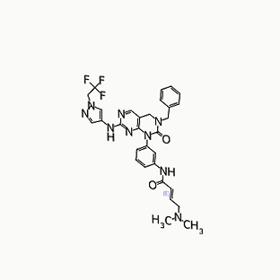 CN(C)C/C=C/C(=O)Nc1cccc(N2C(=O)N(Cc3ccccc3)Cc3cnc(Nc4cnn(CC(F)(F)F)c4)nc32)c1